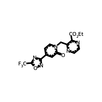 CCOC(=O)c1nccnc1Cn1ccc(-c2noc(C(F)(F)F)n2)cc1=O